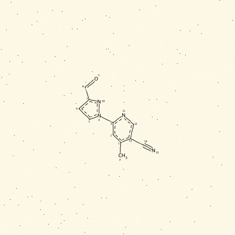 Cc1cc(-n2ccc(C=O)n2)ncc1C#N